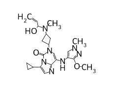 C=CC(O)N(C)C1CC(n2cc(Nc3cn(C)nc3OC)c3ncc(C4CC4)n3c2=O)C1